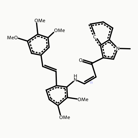 COc1cc(C=Cc2ccc(OC)c(OC)c2N/C=C\C(=O)c2cn(C)c3ccccc23)cc(OC)c1OC